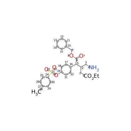 CCOC(=O)CC(CN)C(C(=O)OCc1ccccc1)c1ccc(OS(=O)(=O)c2ccc(C)cc2)cc1